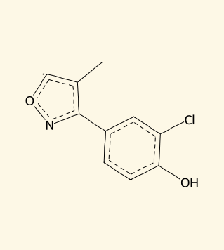 Cc1[c]onc1-c1ccc(O)c(Cl)c1